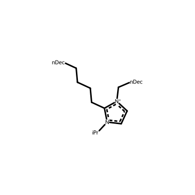 CCCCCCCCCCCCCCc1n(C(C)C)cc[n+]1CCCCCCCCCCC